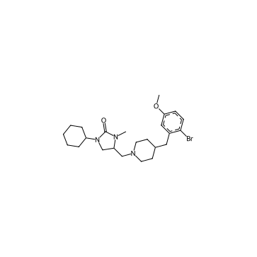 COc1ccc(Br)c(CC2CCN(CC3CN(C4CCCCC4)C(=O)N3C)CC2)c1